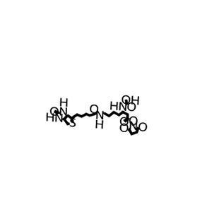 O=C(O)NC(CCCCNC(=O)CCCCC1SCC2NC(=O)NC21)CC(=O)ON1C(=O)CCC1=O